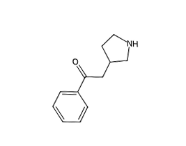 O=C(CC1CCNC1)c1ccccc1